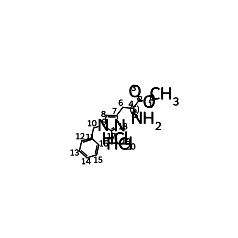 COC(=O)[C@@H](N)Cc1cn(Cc2ccccc2)cn1.Cl.Cl